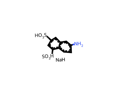 Nc1ccc2c(S(=O)(=O)O)cc(S(=O)(=O)O)cc2c1.[NaH]